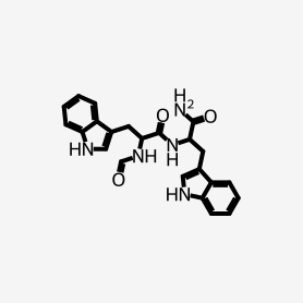 NC(=O)C(Cc1c[nH]c2ccccc12)NC(=O)C(Cc1c[nH]c2ccccc12)NC=O